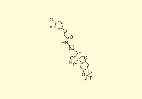 C[C@@]1(C(=O)NC23CC(NC(=O)COc4ccc(Cl)c(F)c4)(C2)C3)COc2cc3c(cc21)OC(F)(F)O3